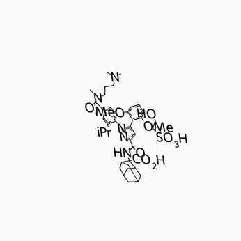 COc1cccc(OC)c1-c1cc(C(=O)NC2(C(=O)O)C3CC4CC(C3)CC2C4)nn1-c1ccc(C(=O)N(C)CCCN(C)C)cc1C(C)C.O=S(=O)(O)CCO